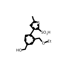 CCOCc1cc(CO)ccc1-c1cc(C)sc1S(=O)(=O)O